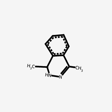 C[C]1NN=C(C)c2ccccc21